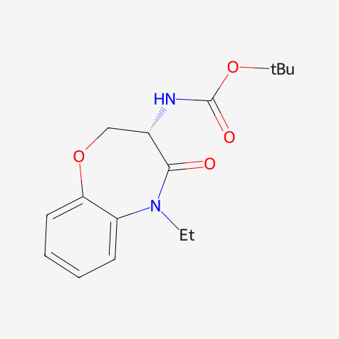 CCN1C(=O)[C@@H](NC(=O)OC(C)(C)C)COc2ccccc21